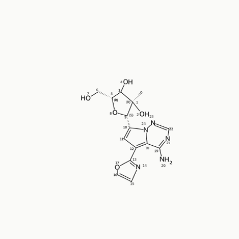 C[C@@]1(O)C(O)[C@@H](CO)O[C@H]1c1cc(-c2ncco2)c2c(N)ncnn12